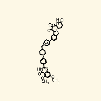 COc1cc(OC)c2c(=O)[nH]c(-c3ccc(N4CCC(CN5CC6CCC5CN6c5ccc6c(c5)C(C(=O)C=O)N(C5CCC(=O)NC5=O)C6)CC4)cc3)nc2c1